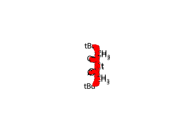 CCC1(CC)c2cc(-c3ccc4c(c3)C(CCCOCC3CO3)(COCC3CO3)c3cc(-c5ccc6c(c5)C(C)(C)c5cc(-c7ccc8ccc9cc(C(C)(C)C)cc%10ccc7c8c9%10)ccc5-6)ccc3-4)ccc2-c2ccc(-c3ccc4c(c3)C(CCCOCC3CO3)(COCC3CO3)c3cc(-c5ccc6c(c5)C(C)(C)c5cc(-c7ccc8ccc9cc(C(C)(C)C)cc%10ccc7c8c9%10)ccc5-6)ccc3-4)cc21